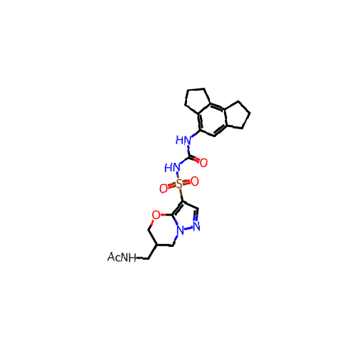 CC(=O)NCC1COc2c(S(=O)(=O)NC(=O)Nc3cc4c(c5c3CCC5)CCC4)cnn2C1